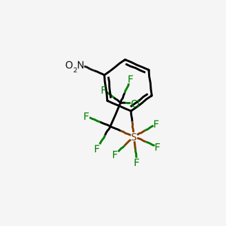 O=[N+]([O-])c1cccc(S(F)(F)(F)(F)C(F)(F)C(F)(F)Cl)c1